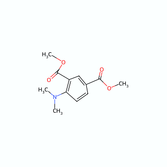 COC(=O)c1ccc(N(C)C)c(C(=O)OC)c1